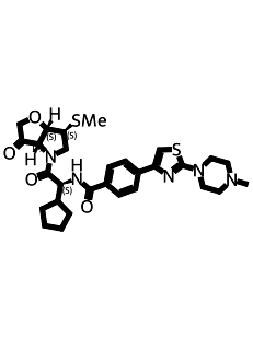 CS[C@H]1CN(C(=O)[C@@H](NC(=O)c2ccc(-c3csc(N4CCN(C)CC4)n3)cc2)C2CCCC2)[C@@H]2C(=O)CO[C@H]12